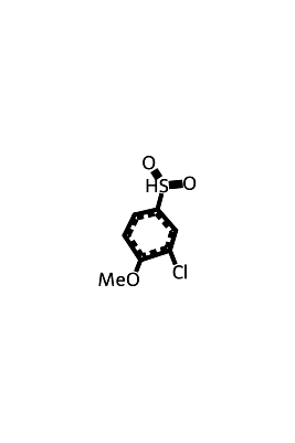 COc1ccc([SH](=O)=O)cc1Cl